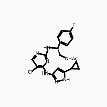 CC(=O)NC[C@@H](Nc1ncc(Cl)c(Nc2cc(C3CC3)[nH]n2)n1)c1ccc(F)cc1